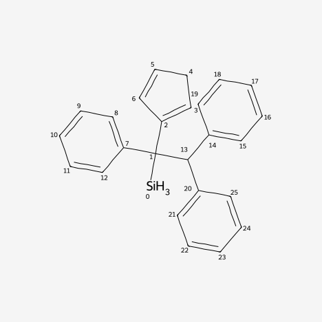 [SiH3]C(C1=CCC=C1)(c1ccccc1)C(c1ccccc1)c1ccccc1